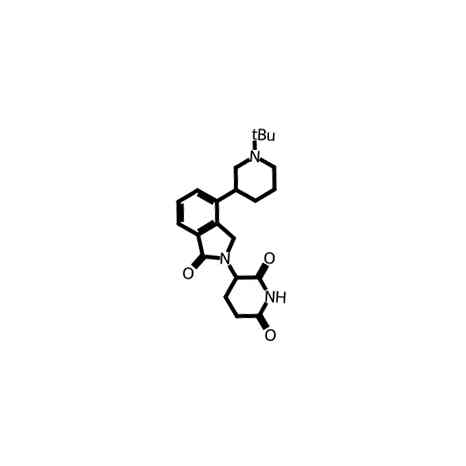 CC(C)(C)N1CCCC(c2cccc3c2CN(C2CCC(=O)NC2=O)C3=O)C1